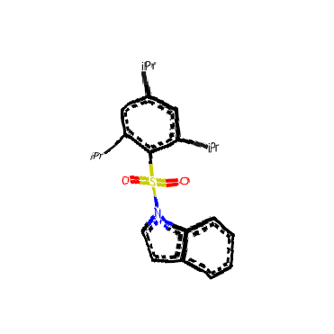 CC(C)c1cc(C(C)C)c(S(=O)(=O)n2ccc3ccccc32)c(C(C)C)c1